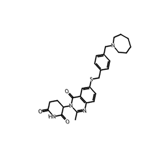 Cc1nc2ccc(SCc3ccc(CN4CCCCCC4)cc3)cc2c(=O)n1C1CCC(=O)NC1=O